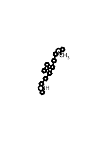 CN1c2ccccc2CCc2ccc(-c3ccc(-c4ccc5c(c4)C4(c6ccccc6-c6ccccc64)c4cc(-c6ccc(-c7ccc8c(c7)Nc7ccccc7CC8)cc6)ccc4-5)cc3)cc21